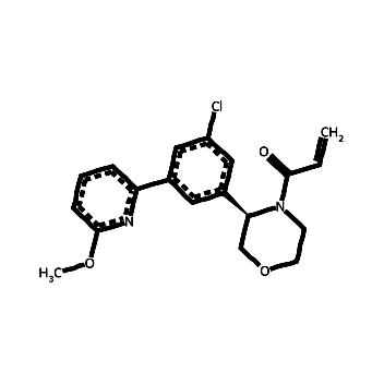 C=CC(=O)N1CCOC[C@H]1c1cc(Cl)cc(-c2cccc(OC)n2)c1